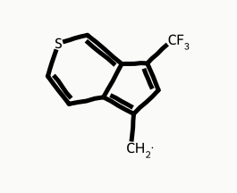 [CH2]c1cc(C(F)(F)F)c2csccc1-2